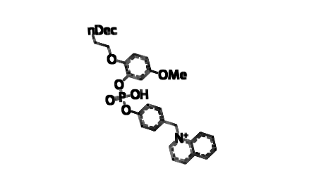 CCCCCCCCCCCCOc1ccc(OC)cc1OP(=O)(O)Oc1ccc(C[n+]2cccc3ccccc32)cc1